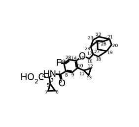 O=C(N[C@H](C(=O)O)C1CC1)c1cc(C2CC2)c(OCC2CC3CC4CCC2C(C4)C3)cc1F